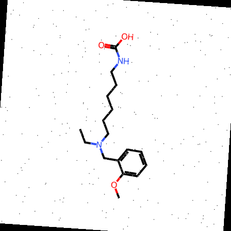 CCN(CCCCCCNC(=O)O)Cc1ccccc1OC